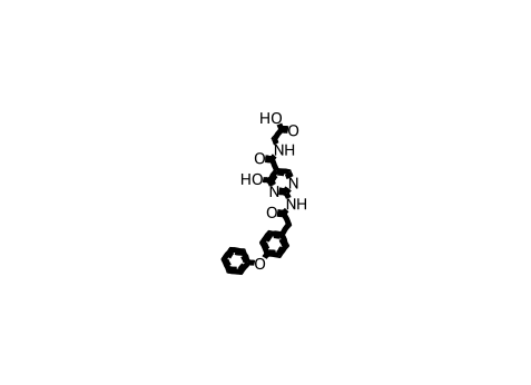 O=C(O)CNC(=O)c1cnc(NC(=O)Cc2ccc(Oc3ccccc3)cc2)nc1O